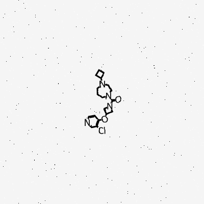 O=C(N1CCCN(C2CCC2)CC1)N1CC(Oc2ccncc2Cl)C1